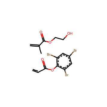 C=C(C)C(=O)OCCO.C=CC(=O)Oc1c(Br)cc(Br)cc1Br